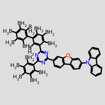 Bc1c(B)c(B)c(-c2nc(-c3ccc4c(c3)oc3cc(-n5c6ccccc6c6ccccc65)ccc34)nc(-c3c(B)c(B)c(B)c(-c4c(B)c(B)c(B)c(B)c4B)c3B)n2)c(B)c1B